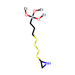 CCO[Si](CCCSSSSC1CN1)(OCC)OCC